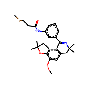 COc1cc2c(c3c1OC(C)(C)C3)C(c1cccc(NC(=O)CCSC)c1)=NC(C)(C)C2